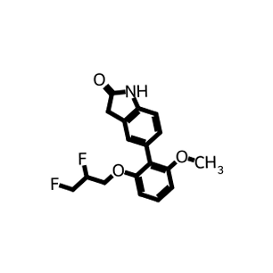 COc1cccc(OCC(F)CF)c1-c1ccc2c(c1)CC(=O)N2